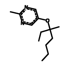 CCCCC(C)(CC)Oc1cnc(C)nc1